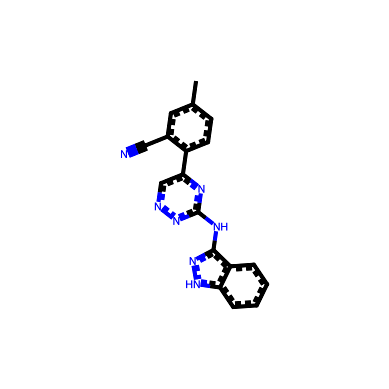 Cc1ccc(-c2cnnc(Nc3n[nH]c4ccccc34)n2)c(C#N)c1